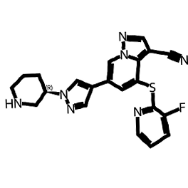 N#Cc1cnn2cc(-c3cnn([C@@H]4CCCNC4)c3)cc(Sc3ncccc3F)c12